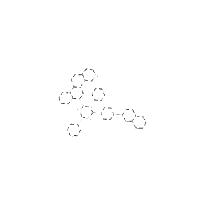 c1ccc(-c2nc(-c3ccc(-c4ccc5ccccc5c4)cc3-c3ccccc3)nc(-c3cc4c5cnccc5ccc4c4ccccc34)n2)cc1